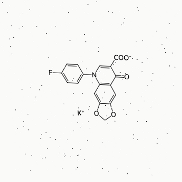 O=C([O-])c1cn(-c2ccc(F)cc2)c2cc3c(cc2c1=O)OCO3.[K+]